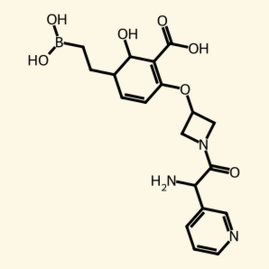 NC(C(=O)N1CC(OC2=C(C(=O)O)C(O)C(CCB(O)O)C=C2)C1)c1cccnc1